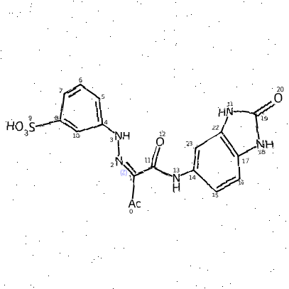 CC(=O)/C(=N/Nc1cccc(S(=O)(=O)O)c1)C(=O)Nc1ccc2[nH]c(=O)[nH]c2c1